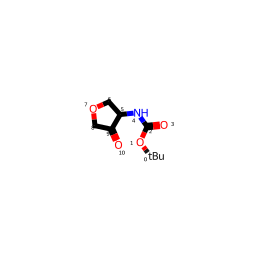 CC(C)(C)OC(=O)NC1COCC1=O